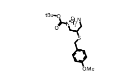 COc1ccc(CSC(CN)CN(C)C(=O)OC(C)(C)C)cc1